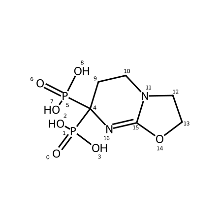 O=P(O)(O)C1(P(=O)(O)O)CCN2CCOC2=N1